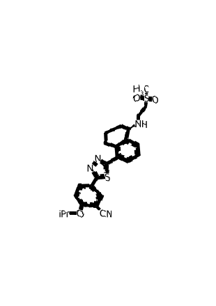 CC(C)Oc1ccc(-c2nnc(-c3cccc4c3CCC[C@H]4NCCS(C)(=O)=O)s2)cc1C#N